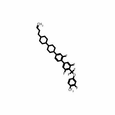 C=CCCC1CCC(C2CCC(c3ccc(-c4cc(F)c(C(F)(F)Oc5ccc(C(F)(F)F)c(F)c5)c(F)c4)c(F)c3)CC2)CC1